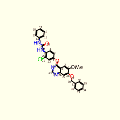 COc1cc2c(Oc3ccc(NC(=O)Nc4ccccc4)c(Cl)c3)ncnc2cc1OCc1ccccc1